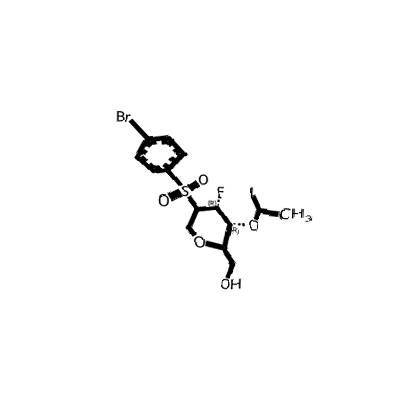 CC(I)O[C@@H]1C(CO)OCC(S(=O)(=O)c2ccc(Br)cc2)[C@@H]1F